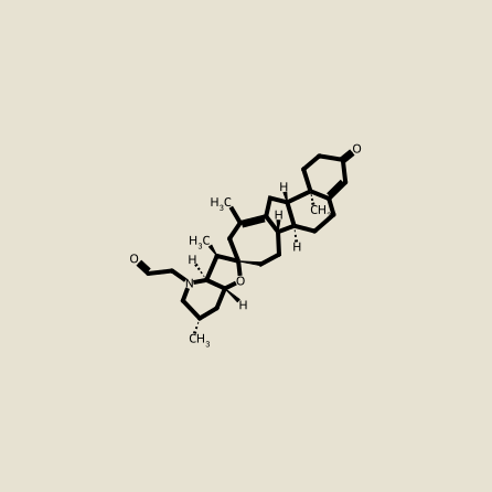 CC1=C2C[C@H]3[C@@H](CCC4=CC(=O)CC[C@@]43C)[C@@H]2CC[C@@]2(C1)O[C@@H]1C[C@H](C)CN(CC=O)[C@H]1[C@H]2C